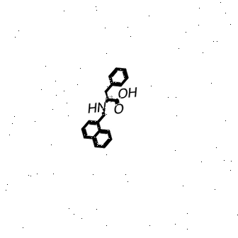 O=C(O)[C@H](Cc1ccccc1)NCc1cccc2ccccc12